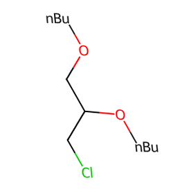 CCCCOCC(CCl)OCCCC